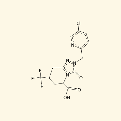 O=C(O)C1CC(C(F)(F)F)Cc2nn(Cc3ccc(Cl)cn3)c(=O)n21